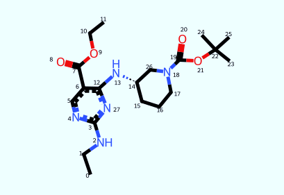 CCNc1ncc(C(=O)OCC)c(N[C@H]2CCCN(C(=O)OC(C)(C)C)C2)n1